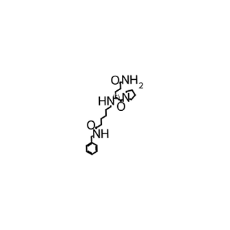 NC(=O)CC[C@H](NCCCCCC(=O)NCc1ccccc1)C(=O)N1CCCC1